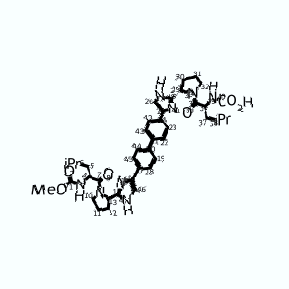 COC(=O)N[C@@H](CC(C)C)C(=O)N1CCCC1c1nc(-c2ccc(-c3ccc(-c4c[nH]c([C@@H]5CCCN5C(=O)[C@H](CC(C)C)NC(=O)O)n4)cc3)cc2)c[nH]1